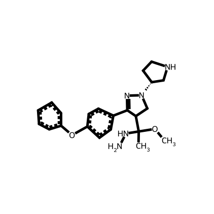 COC(C)(NN)C1CN([C@@H]2CCNC2)N=C1c1ccc(Oc2ccccc2)cc1